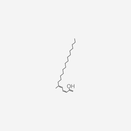 C=C(O)/C=C\C=C(/C)CCCCCCCCCCCCCCC